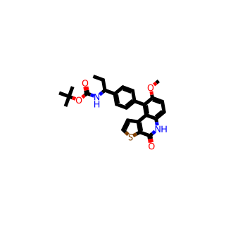 CCC(NC(=O)OC(C)(C)C)c1ccc(-c2c(OC)ccc3[nH]c(=O)c4sccc4c23)cc1